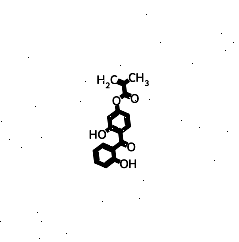 C=C(C)C(=O)Oc1ccc(C(=O)c2ccccc2O)c(O)c1